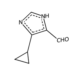 O=Cc1[nH]cnc1C1CC1